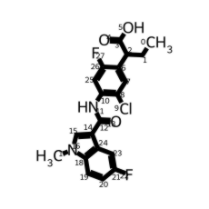 CCC(C(=O)O)c1cc(Cl)c(NC(=O)c2cn(C)c3ccc(F)cc23)cc1F